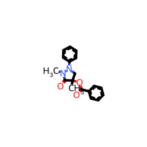 CN1C(=O)C(C)(OC(=O)c2ccccc2)CN1c1ccccc1